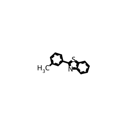 Cc1cccc(-c2nc3ccccc3s2)c1